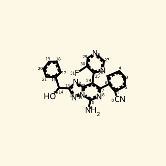 N#Cc1ccccc1-c1nc(N)n2nc(C(O)c3ccccc3)nc2c1-c1ncncc1F